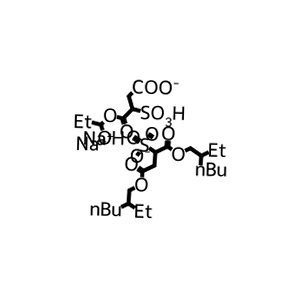 CCC(O)OC(=O)C(CC(=O)[O-])S(=O)(=O)O.CCCCC(CC)COC(=O)CC(C(=O)OCC(CC)CCCC)S(=O)(=O)[O-].[Na+].[Na+]